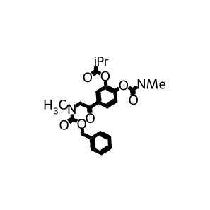 CNC(=O)Oc1ccc(C(=O)CN(C)C(=O)OCc2ccccc2)cc1OC(=O)C(C)C